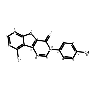 CCc1ncnc2sc3c(=O)n(-c4ccc(C)cc4)cnc3c12